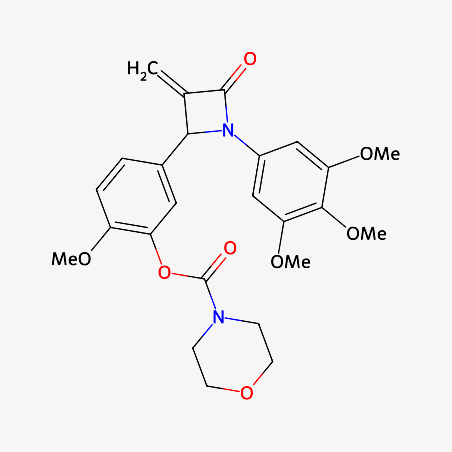 C=C1C(=O)N(c2cc(OC)c(OC)c(OC)c2)C1c1ccc(OC)c(OC(=O)N2CCOCC2)c1